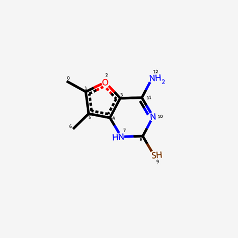 Cc1oc2c(c1C)NC(S)N=C2N